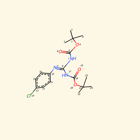 CC(C)(C)OC(=O)NC(=Nc1ccc(Cl)cc1)NC(=O)OC(C)(C)C